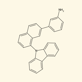 Nc1cccc(-c2ccc3cccc(-n4c5ccccc5c5ccccc54)c3c2)c1